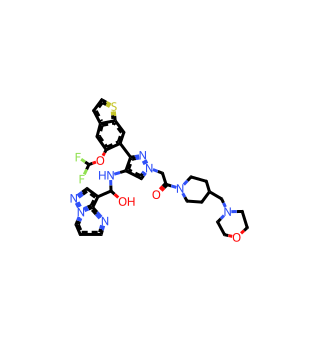 O=C(Cn1cc(NC(O)c2cnn3cccnc23)c(-c2cc3sccc3cc2OC(F)F)n1)N1CCC(CN2CCOCC2)CC1